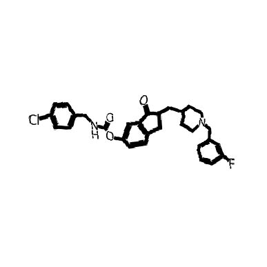 O=C(NCc1ccc(Cl)cc1)Oc1ccc2c(c1)C(=O)C(CC1CCN(Cc3cccc(F)c3)CC1)C2